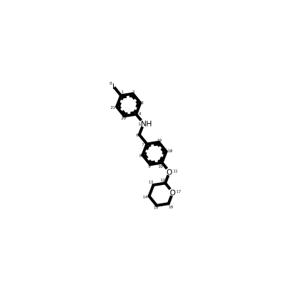 Ic1ccc(NCc2ccc(OC3CCCCO3)cc2)cc1